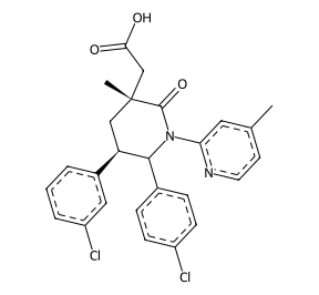 Cc1ccnc(N2C(=O)[C@@](C)(CC(=O)O)C[C@H](c3cccc(Cl)c3)C2c2ccc(Cl)cc2)c1